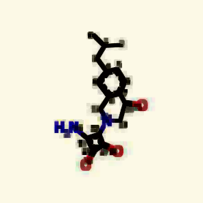 CC(C)Cc1ccc2c(c1)CN(c1c(N)c(=O)c1=O)CC2=O